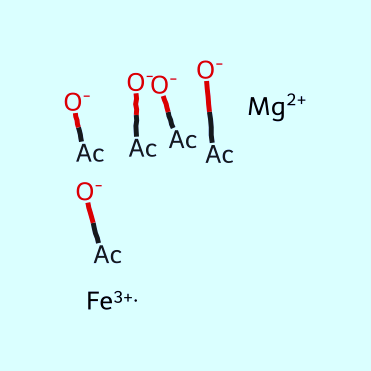 CC(=O)[O-].CC(=O)[O-].CC(=O)[O-].CC(=O)[O-].CC(=O)[O-].[Fe+3].[Mg+2]